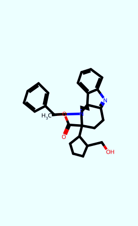 COC(=O)C1(C2CCCC2CO)CCC2=Nc3ccccc3C23CCN(Cc2ccccc2)C31